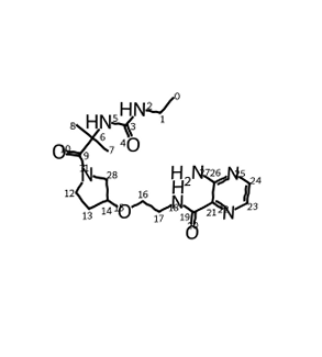 CCNC(=O)NC(C)(C)C(=O)N1CCC(OCCNC(=O)c2nccnc2N)C1